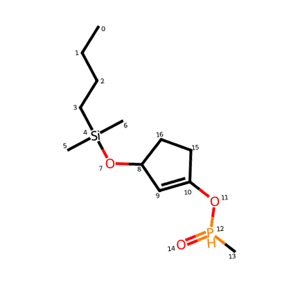 CCCC[Si](C)(C)OC1C=C(O[PH](C)=O)CC1